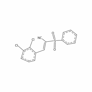 N#CC(=Cc1cccc(Cl)c1Cl)S(=O)(=O)c1ccccc1